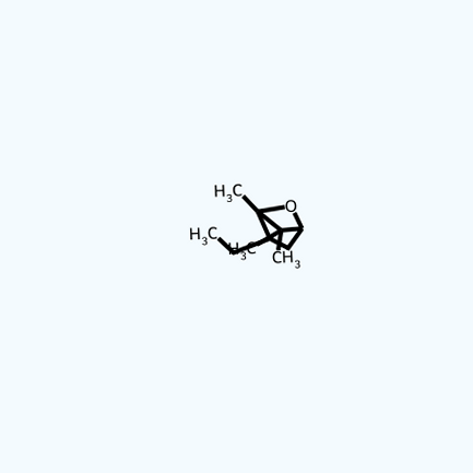 CCC1CC2OC1(C)C2(C)C